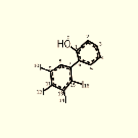 Oc1ccccc1-c1cc(I)c(I)c(I)c1I